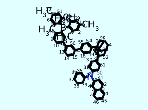 Cc1cc(C)c(B(c2cccc(-c3cccc(-c4ccc(C56CC7CC(C5)CC(c5ccc(N(C8=CC=CCC8)c8ccc9ccccc9c8)cc5)(C7)C6)cc4)c3)c2)c2c(C)cc(C)cc2C)c(C)c1